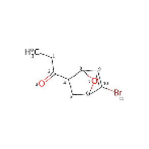 CCC(=O)C1CC2OC1C=C2Br